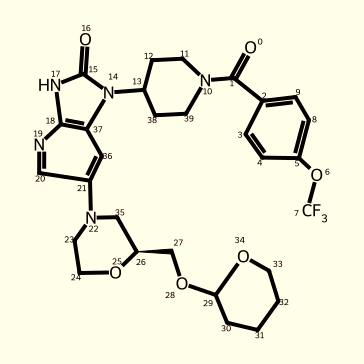 O=C(c1ccc(OC(F)(F)F)cc1)N1CCC(n2c(=O)[nH]c3ncc(N4CCO[C@H](COC5CCCCO5)C4)cc32)CC1